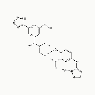 CCOc1cc(C(=O)N2CCC3(CC2)CC(=O)c2cc(Nc4ccnn4C)ccc2O3)cc(-c2nnn[nH]2)c1